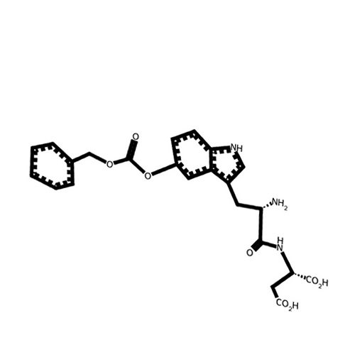 N[C@@H](Cc1c[nH]c2ccc(OC(=O)OCc3ccccc3)cc12)C(=O)N[C@@H](CC(=O)O)C(=O)O